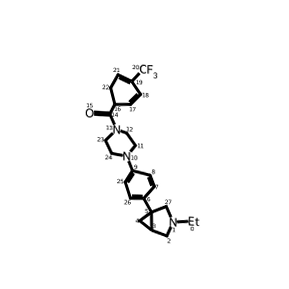 CCN1CC2CC2(c2ccc(N3CCN(C(=O)C4C=CC(C(F)(F)F)=CC4)CC3)cc2)C1